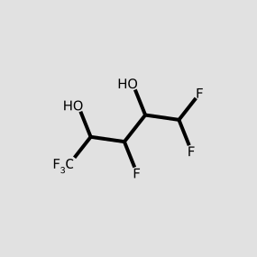 OC(C(F)F)C(F)C(O)C(F)(F)F